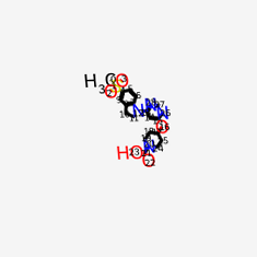 CS(=O)(=O)c1ccc2c(c1)CCN2c1cc(OC2CCN(C(=O)O)CC2)ncn1